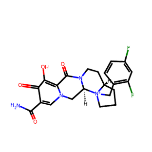 NC(=O)c1cn2c(c(O)c1=O)C(=O)N1CC[C@@H]3CCC[N+]3(Cc3ccc(F)cc3F)[C@H]1C2